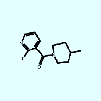 CC1CCN(C(=O)c2cccnc2F)CC1